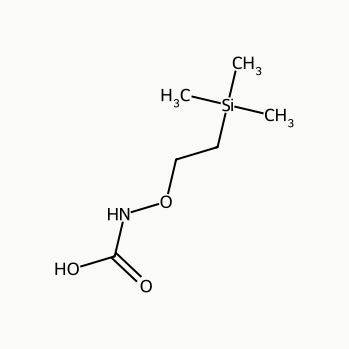 C[Si](C)(C)CCONC(=O)O